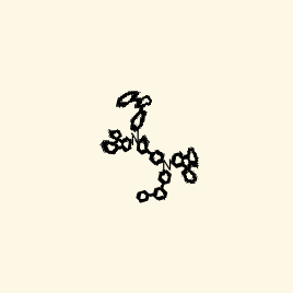 c1ccc(-c2cccc(-c3ccc(N(c4ccc(-c5ccc(N(c6ccc(-c7cccc(-c8ccccc8)c7)cc6)c6ccc7c(c6)C6(CCCC6)c6ccccc6-7)cc5)cc4)c4ccc5c(c4)C4(CCCC4)c4ccccc4-5)cc3)c2)cc1